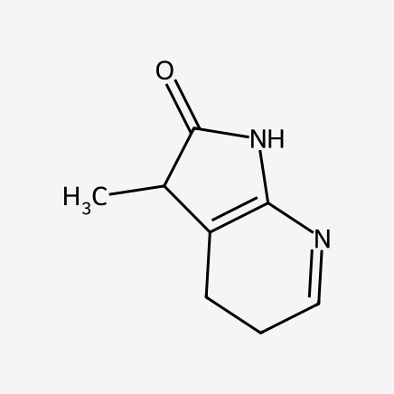 CC1C(=O)NC2=C1CCC=N2